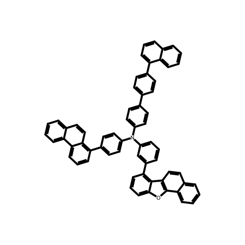 c1cc(-c2cccc3oc4c5ccccc5ccc4c23)cc(N(c2ccc(-c3ccc(-c4cccc5ccccc45)cc3)cc2)c2ccc(-c3cccc4c3ccc3ccccc34)cc2)c1